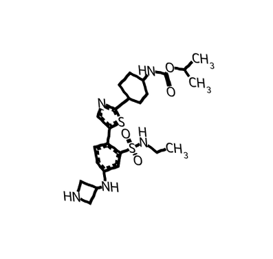 CCNS(=O)(=O)c1cc(NC2CNC2)ccc1-c1cnc(C2CCC(NC(=O)OC(C)C)CC2)s1